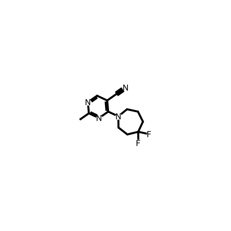 Cc1ncc(C#N)c(N2CCCC(F)(F)CC2)n1